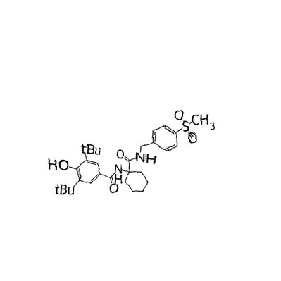 CC(C)(C)c1cc(C(=O)NC2(C(=O)NCc3ccc(S(C)(=O)=O)cc3)CCCCC2)cc(C(C)(C)C)c1O